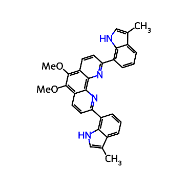 COc1c(OC)c2ccc(-c3cccc4c(C)c[nH]c34)nc2c2nc(-c3cccc4c(C)c[nH]c34)ccc12